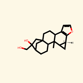 CC12C(CCC34CC(CCC31)C(O)(CO)C4)c1ccoc1[C@H]1CC12